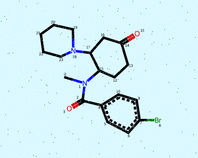 CN(C(=O)c1ccc(Br)cc1)C1CCC(=O)CC1N1CCCCC1